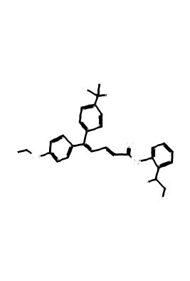 CCOc1ccc(C(=CC=CC(=O)Nc2ccccc2C(O)CO)c2ccc(C(F)(F)F)cc2)cc1